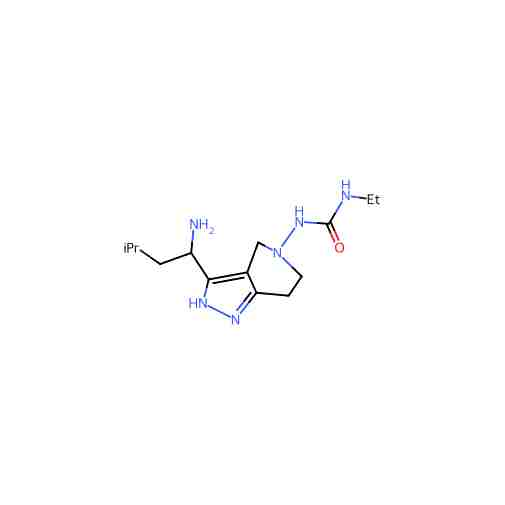 CCNC(=O)NN1CCc2n[nH]c(C(N)CC(C)C)c2C1